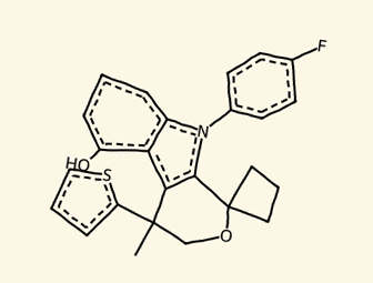 CC1(c2cccs2)COC2(CCC2)c2c1c1c(O)cccc1n2-c1ccc(F)cc1